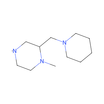 CN1CC[N]CC1CN1CCCCC1